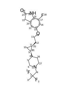 CC(F)(F)CN1CCC([C@H]2C[C@H]2CCOc2cc(F)c3c(c2)CC(=O)N3)CC1